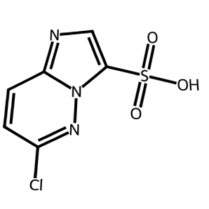 O=S(=O)(O)c1cnc2ccc(Cl)nn12